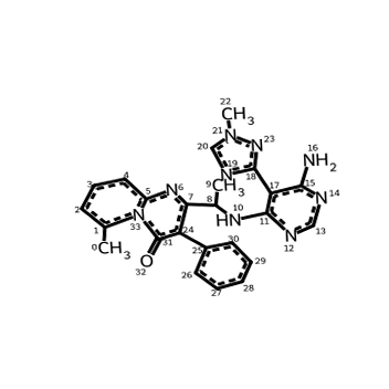 Cc1cccc2nc(C(C)Nc3ncnc(N)c3-c3ncn(C)n3)c(-c3ccccc3)c(=O)n12